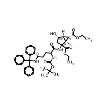 CCOC(=O)[C@H]1[C@H]2[C@@H]1[C@](NC(=O)C(CCC(=O)NC(c1ccccc1)(c1ccccc1)c1ccccc1)NC(=O)OC(C)(C)C)(C(=O)OCC)C[C@@H]2O